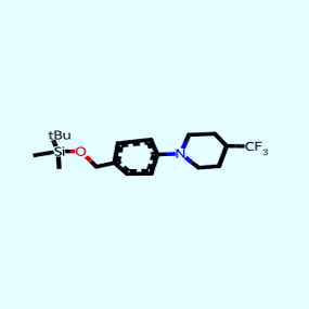 CC(C)(C)[Si](C)(C)OCc1ccc(N2CCC(C(F)(F)F)CC2)cc1